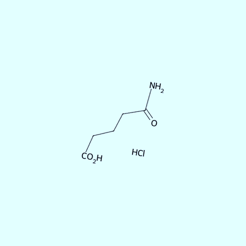 Cl.NC(=O)CCCC(=O)O